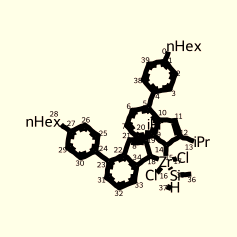 CCCCCCc1ccc(-c2cccc3c2C=C(C(C)C)[CH]3[Zr]([Cl])([Cl])([CH]2C(C(C)C)=Cc3c(-c4ccc(CCCCCC)cc4)cccc32)[SiH](C)C)cc1